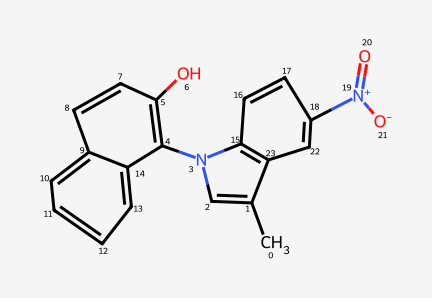 Cc1cn(-c2c(O)ccc3ccccc23)c2ccc([N+](=O)[O-])cc12